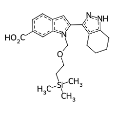 C[Si](C)(C)CCOCn1c(-c2n[nH]c3c2CCCC3)cc2ccc(C(=O)O)cc21